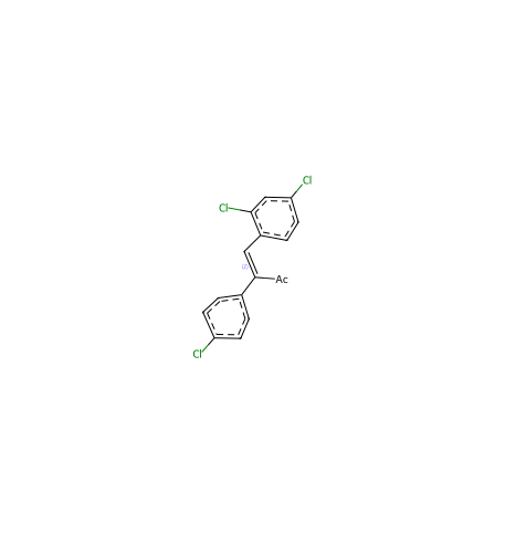 CC(=O)/C(=C\c1ccc(Cl)cc1Cl)c1ccc(Cl)cc1